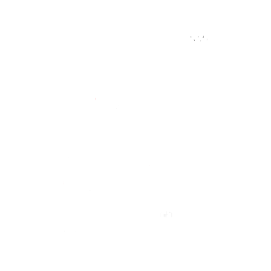 CCCc1cc(CCC)c(OC(C)C)c(C=CC(=O)c2ccc(NC)cc2)c1O